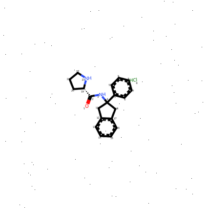 Cl.O=C(NC1(c2ccccc2)Cc2ccccc2C1)[C@@H]1CCCN1